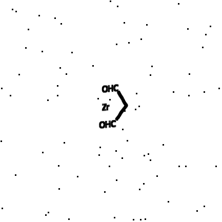 O=CCC=O.[Zr]